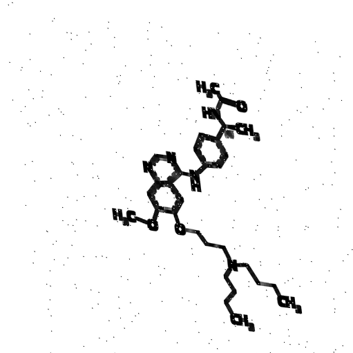 CCCCN(CCCC)CCCOc1cc2c(Nc3ccc([C@H](C)NC(C)=O)cc3)ncnc2cc1OC